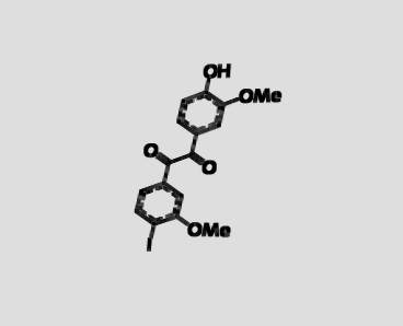 COc1cc(C(=O)C(=O)c2ccc(I)c(OC)c2)ccc1O